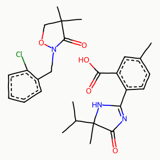 CC1(C)CON(Cc2ccccc2Cl)C1=O.Cc1ccc(C2=NC(=O)C(C)(C(C)C)N2)c(C(=O)O)c1